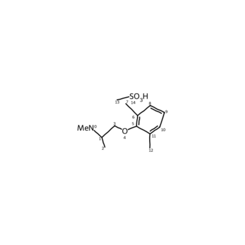 CNC(C)COc1c(C)cccc1C.CS(=O)(=O)O